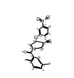 Cc1ccc(C)c(C(=O)N2C[C@H](Oc3cccc([N+](=O)[O-])c3)[C@@H](C#N)C2)c1